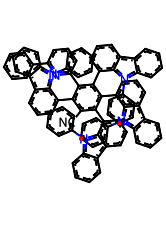 N#Cc1c(-c2cccc3c4ccccc4n(-c4ccccc4)c23)c(-c2cccc(-c3ccccc3)n2)c(-c2cccc3c4ccccc4n(-c4ccccc4)c23)c(-c2cccc3c4ccccc4n(-c4ccccc4)c23)c1-c1cccc2c3ccccc3n(-c3ccccc3)c12